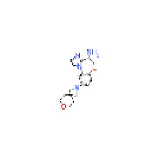 N[C@H]1COc2ccc(N3CC4(CCOCC4)C3)cc2-n2ccnc21